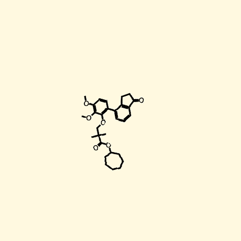 COc1ccc(-c2cccc3c2CCC3=O)c(OCC(C)(C)C(=O)OC2CCCCCC2)c1OC